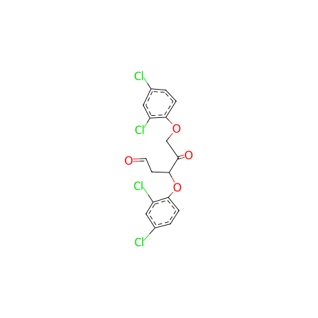 O=CCC(Oc1ccc(Cl)cc1Cl)C(=O)COc1ccc(Cl)cc1Cl